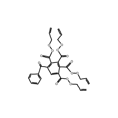 C=CCOOC(=O)c1cc(C(=O)c2ccccc2)c(C(=O)OOCC=C)c(C(=O)OOCC=C)c1C(=O)OOCC=C